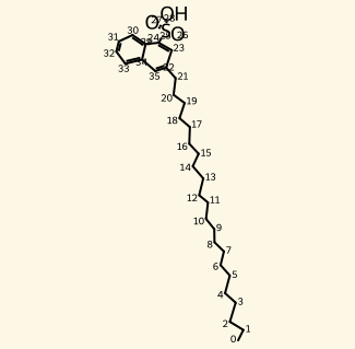 CCCCCCCCCCCCCCCCCCCCCCc1cc(S(=O)(=O)O)c2ccccc2c1